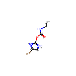 CC(C)CNC(=O)Oc1nc(Br)c[nH]1